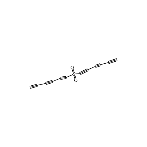 C#CC#CC#CS(=O)(=O)C#CC#CC#C